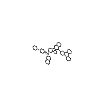 c1ccc(-c2ccc(N(c3ccc4ccccc4c3)c3ccc4c(c3)oc3c(-c5ccc6c7ccccc7c7ccccc7c6c5)c5ccccc5cc34)cc2)cc1